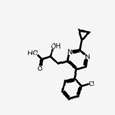 O=C(O)C(O)Cc1nc(C2CC2)ncc1-c1ccccc1Cl